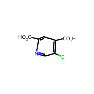 O=C(O)c1cc(C(=O)O)c(Cl)cn1